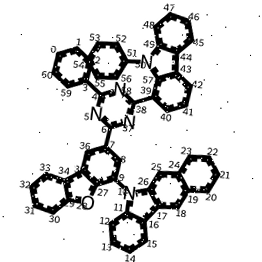 c1ccc(-c2nc(-c3cc(-n4c5ccccc5c5cc6ccccc6cc54)c4oc5ccccc5c4c3)nc(-c3cccc4c5ccccc5n(-c5ccccc5)c34)n2)cc1